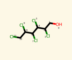 OCC(Cl)C(Cl)C(Cl)C(Cl)CCl